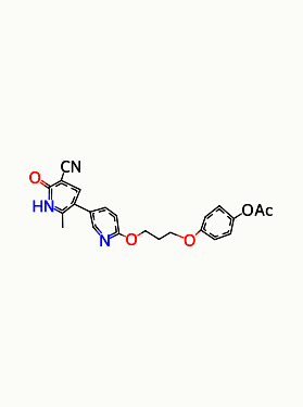 CC(=O)Oc1ccc(OCCCOc2ccc(-c3cc(C#N)c(=O)[nH]c3C)cn2)cc1